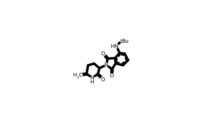 C=C1CCC(N2C(=O)c3cccc(NC(C)(C)C)c3C2=O)C(=O)N1